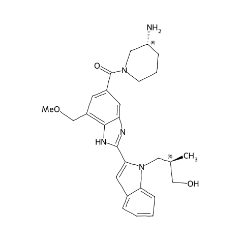 COCc1cc(C(=O)N2CCC[C@@H](N)C2)cc2nc(-c3cc4ccccc4n3C[C@@H](C)CO)[nH]c12